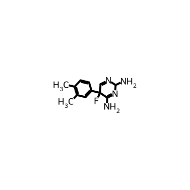 Cc1ccc(C2(F)C=NC(N)N=C2N)cc1C